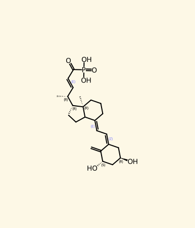 C=C1/C(=C\C=C2/CCC[C@@]3(C)C2CC[C@@H]3[C@H](C)/C=C/C(=O)P(=O)(O)O)C[C@@H](O)C[C@@H]1O